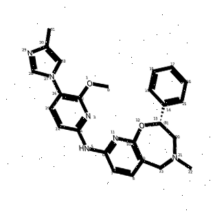 COc1nc(Nc2ccc3c(n2)O[C@H](c2ccccc2)CN(C)C3)ccc1-n1cnc(C)c1